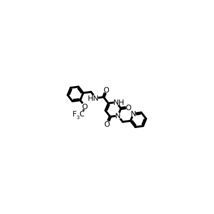 O=C(NCc1ccccc1OC(F)(F)F)c1cc(=O)n(Cc2ccccn2)c(=O)[nH]1